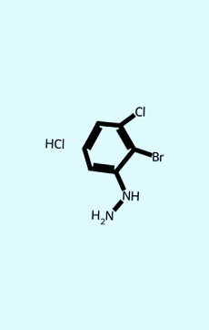 Cl.NNc1cccc(Cl)c1Br